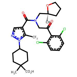 CC1(C(=O)O)CCC(n2ncc(C(=O)N(CC(=O)c3c(Cl)cccc3Cl)C[C@]3(C)CCCO3)c2C(F)(F)F)CC1